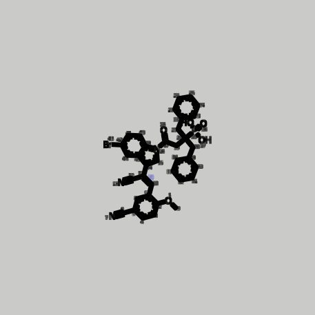 COc1ccc(C#N)cc1/C=C(\C#N)c1cn(C(=O)CC(Cc2ccccc2)(Cc2ccccc2)P(=O)(O)O)c2ccc(Br)cc12